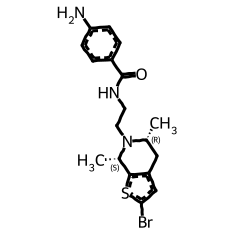 C[C@@H]1Cc2cc(Br)sc2[C@H](C)N1CCNC(=O)c1ccc(N)cc1